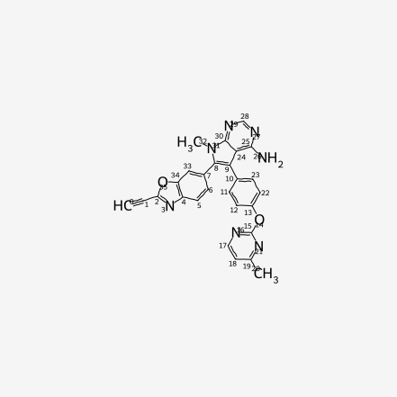 C#Cc1nc2ccc(-c3c(-c4ccc(Oc5nccc(C)n5)cc4)c4c(N)ncnc4n3C)cc2o1